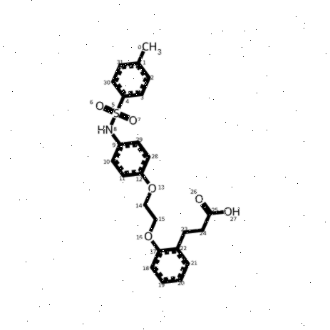 Cc1ccc(S(=O)(=O)Nc2ccc(OCCOc3ccccc3CCC(=O)O)cc2)cc1